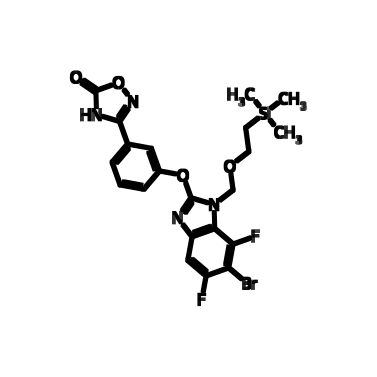 C[Si](C)(C)CCOCn1c(Oc2cccc(-c3noc(=O)[nH]3)c2)nc2cc(F)c(Br)c(F)c21